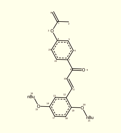 C=C(C)Oc1ccc(C(=O)C=Cc2cc(OCCCC)ccc2OCCCC)cc1